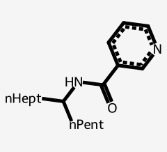 CCCCCCCC(CCCCC)NC(=O)c1cccnc1